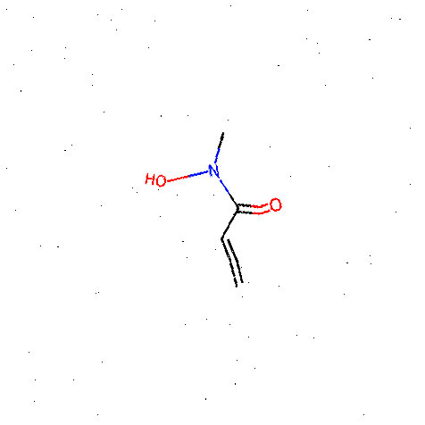 C=CC(=O)N(C)O